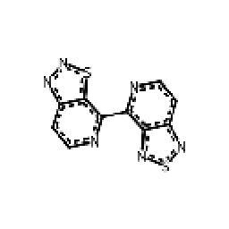 c1cc2nsnc2c(-c2nccc3nnsc23)n1